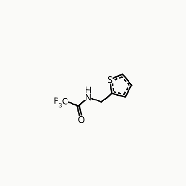 O=C(NCc1cccs1)C(F)(F)F